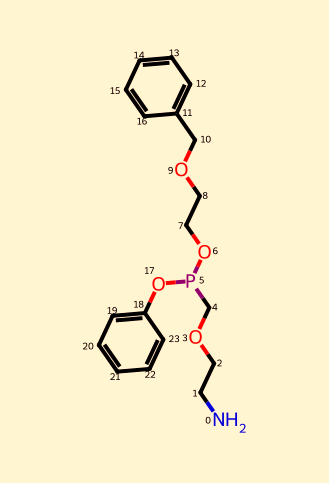 NCCOCP(OCCOCc1ccccc1)Oc1ccccc1